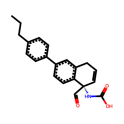 CCCc1ccc(-c2ccc3c(c2)CC=C[C@]3(C=O)NC(=O)O)cc1